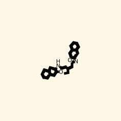 CCC(=Cc1nc2cc3ccccc3cc2o1)C=C1Nc2cc3ccccc3cc2O1